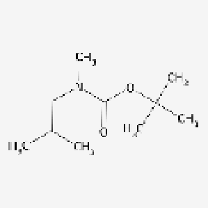 CC(C)CN(C)C(=O)OC(C)(C)C